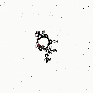 C=CS(=O)(=O)N1CC[C@H](C(=O)N(C)C(C(=O)N[C@H]2Cc3cc(O)cc(c3)-c3ccc4c(c3)c(c(-c3cncnc3)n4CC)CC(C)(C)COC(=O)[C@@H]3CCCN(N3)C2=O)C(C)C)C1